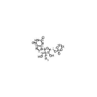 CCOP(=O)(OCC)OC[C@H]1O[C@@H](n2cnc3c(=O)[nH]c(Cl)nc32)C(C)(CO)C1O